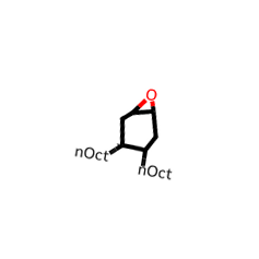 CCCCCCCC[C]1CC2OC2CC1CCCCCCCC